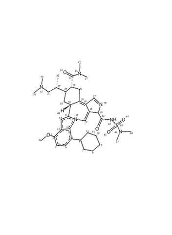 COc1ccc(C2CCCCC2)c2c1cc1n2C=C2C(=C3C[C@@H](C(=O)N(C)C)C([C@@H](C)CN(C)C)C[C@H]31)C=NC2C(=O)NS(=O)(=O)N(C)C